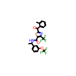 Cc1ccccc1C(=O)c1nc(C(F)(F)F)c(C(=O)NC(C)c2cccc(OC(F)(F)F)c2)s1